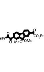 CCCC(=O)C(=O)c1ccc2c(c1)C(OC)(OC)c1cc(C(=O)C(=O)OCC)ccc1-2